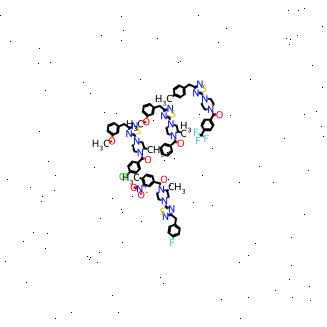 COc1cccc(Cc2nsc(N3CCN(C(=O)c4ccc(Cl)cc4)C(C)C3)n2)c1.COc1cccc(Cc2nsc(N3CCN(C(=O)c4ccccc4)C(C)C3)n2)c1.Cc1ccc(C(=O)N2CCN(c3nc(Cc4ccc(F)cc4)ns3)CC2C)cc1[N+](=O)[O-].Cc1ccc(Cc2nsc(N3CCN(C(=O)c4ccc(C(F)(F)F)cc4)CC3)n2)cc1